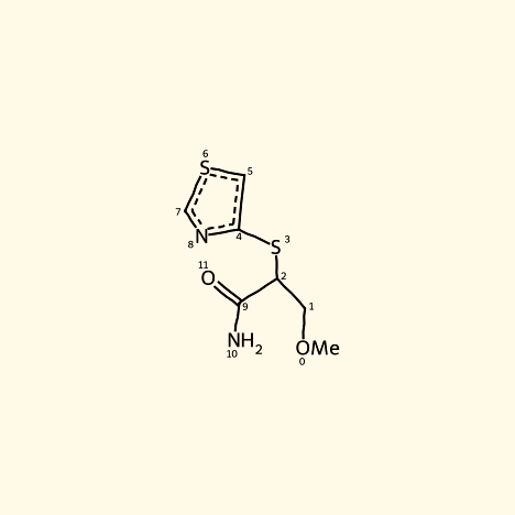 COCC(Sc1cscn1)C(N)=O